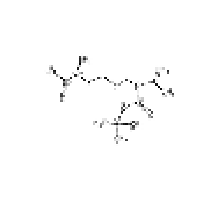 CC(C)N(CCCC[C@H](N)C(=O)O)C(=O)OC(C)(C)C